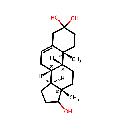 C[C@]12CCC(O)(O)CC1=CC[C@@H]1[C@H]2CC[C@]2(C)C(O)CC[C@@H]12